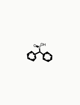 O=S(O)C(c1ccccc1)c1ccccc1